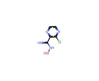 N=C(NO)c1nccnc1Cl